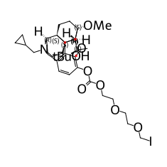 CO[C@@]12CC[C@@]3(C[C@@H]1[C@](C)(O)C(C)(C)C)[C@H]1Cc4ccc(OC(=O)OCCOCCOCI)c5c4[C@@]3(CCN1CC1CC1)[C@H]2O5